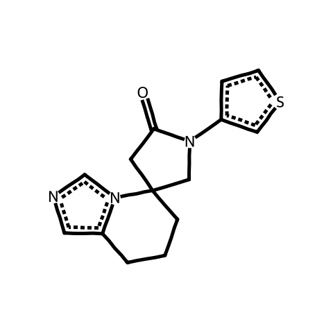 O=C1CC2(CCCc3cncn32)CN1c1ccsc1